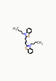 CCCCN1/C(=C/C=C/c2sc3ccccc3[n+]2CCCC)Sc2ccccc21